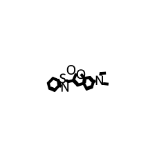 CCN(CC)c1ccc2cc(-c3nc4c(s3)CCC=C4)c(=O)oc2c1